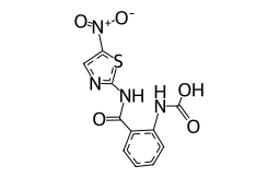 O=C(O)Nc1ccccc1C(=O)Nc1ncc([N+](=O)[O-])s1